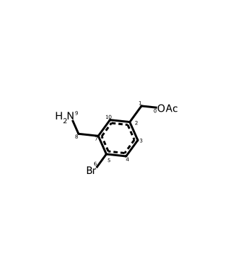 CC(=O)OCc1ccc(Br)c(CN)c1